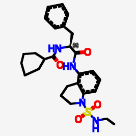 CCNS(=O)(=O)N1CCCc2c(NC(=O)[C@H](Cc3ccccc3)NC(=O)C3CCCCC3)cccc21